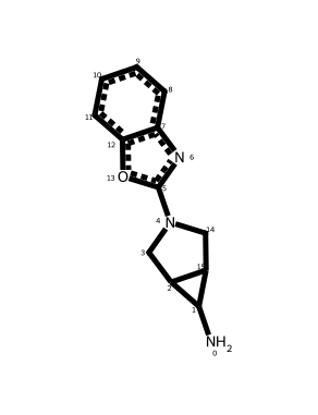 NC1C2CN(c3nc4ccccc4o3)CC12